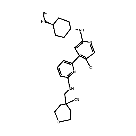 CC(C)N[C@H]1CC[C@H](Nc2cc(-c3cccc(NCC4(C#N)CCOCC4)n3)c(Cl)cn2)CC1